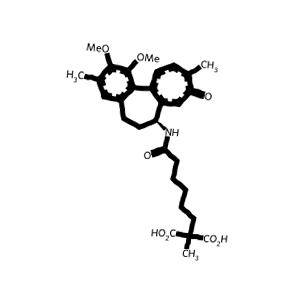 COc1c(C)cc2c(c1OC)-c1ccc(C)c(=O)cc1[C@@H](NC(=O)CCCCCC(C)(C(=O)O)C(=O)O)CC2